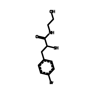 O=C(NCCO)C(S)Cc1ccc(Br)cc1